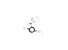 CCN[S+]([O-])c1cc(N)ccc1Br